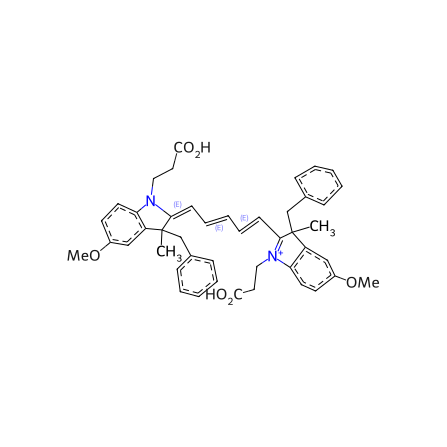 COc1ccc2c(c1)C(C)(Cc1ccccc1)C(/C=C/C=C/C=C1/N(CCC(=O)O)c3ccc(OC)cc3C1(C)Cc1ccccc1)=[N+]2CCC(=O)O